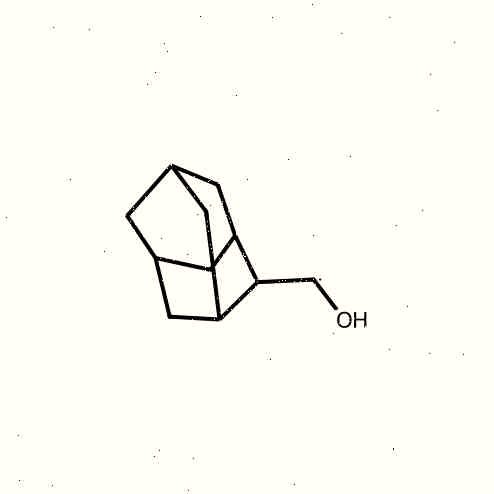 O[CH]C1C2CC3CC(C2)CC1C3